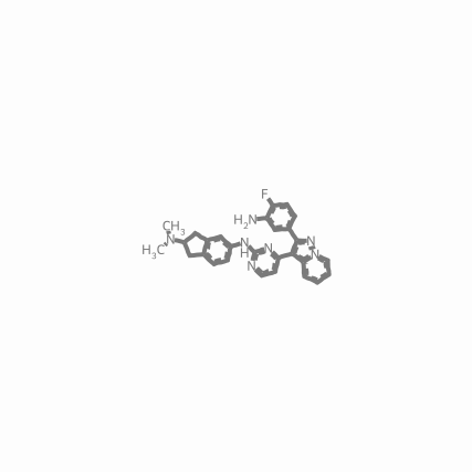 CN(C)C1Cc2ccc(Nc3nccc(-c4c(-c5ccc(F)c(N)c5)nn5ccccc45)n3)cc2C1